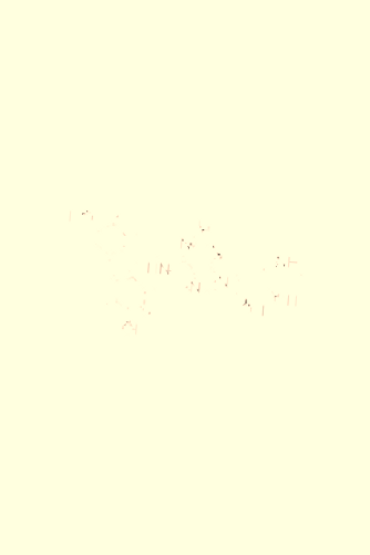 N[C@H]1CC(n2cnc3c(NCC(c4ccc(O)cc4)c4ccc(O)cc4)nc(Cl)nc32)[C@H](O)[C@@H]1O